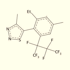 CCc1[c]c(C)cc(C(F)(C(F)(F)F)C(F)(F)C(F)(F)F)c1-c1snnc1C